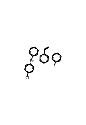 Brc1cc[c]cc1.C=Cc1cc[c]cc1.Clc1cc[c]cc1.Ic1cc[c]cc1